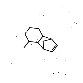 C[C]1CCCC2C3C=CC(C3)C12